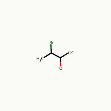 CCCC([O])C(C)Br